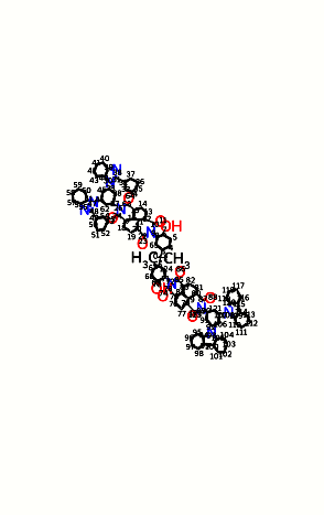 CC(C)(c1ccc(O)c(N2C(=O)c3ccc4c5c(ccc(c35)C2=O)C(=O)N(c2cc(-n3c(-c5ccccc5)nc5ccccc53)cc(-n3c(-c5ccccc5)nc5ccccc53)c2)C4=O)c1)c1ccc(O)c(N2C(=O)c3ccc4c5c(ccc(c35)C2=O)C(=O)N(c2cc(-n3c5ccccc5c5ccccc53)cc(-n3c5ccccc5c5ccccc53)c2)C4=O)c1